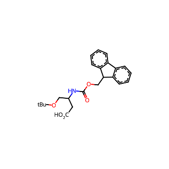 CC(C)(C)OCC(CC(=O)O)NC(=O)OCC1c2ccccc2-c2ccccc21